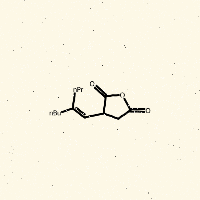 CCCCC(=CC1CC(=O)OC1=O)CCC